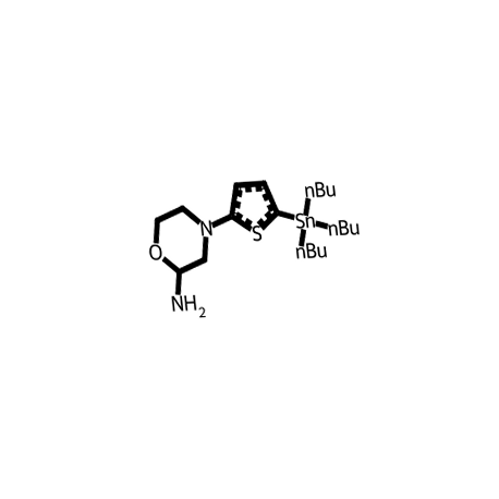 CCC[CH2][Sn]([CH2]CCC)([CH2]CCC)[c]1ccc(N2CCOC(N)C2)s1